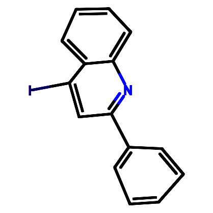 Ic1cc(-c2ccccc2)nc2ccccc12